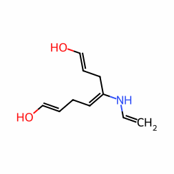 C=CNC(=CCC=CO)CC=CO